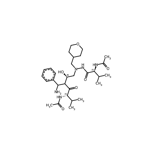 CC(=O)N[C@H](C(=O)NN(CC1CCOCC1)C[C@H](O)C(C(=O)[C@@H](NC(C)=O)C(C)C)C(N)c1ccccc1)C(C)C